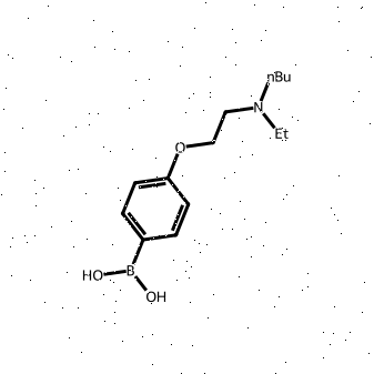 CCCCN(CC)CCOc1ccc(B(O)O)cc1